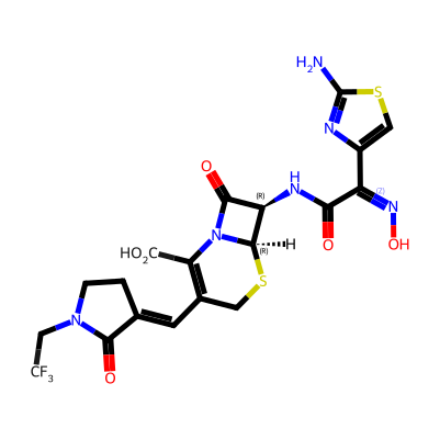 Nc1nc(/C(=N/O)C(=O)N[C@@H]2C(=O)N3C(C(=O)O)=C(C=C4CCN(CC(F)(F)F)C4=O)CS[C@H]23)cs1